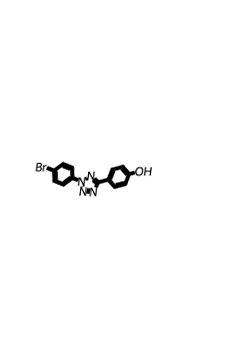 Oc1ccc(-c2nnn(-c3ccc(Br)cc3)n2)cc1